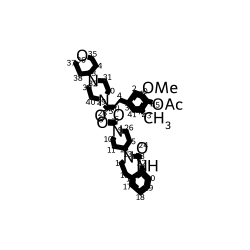 COc1cc(C[C@@H](OC(=O)N2CCC(N3CCc4ccccc4NC3=O)CC2)C(=O)N2CCN(C3CCOCC3)CC2)cc(C)c1OC(C)=O